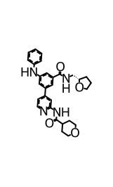 O=C(NC[C@@H]1CCCO1)c1cc(Nc2ccccc2)cc(-c2ccnc(NC(=O)C3CCOCC3)c2)c1